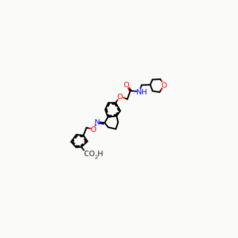 O=C(COc1ccc2c(c1)CCCC2=NOCc1cccc(C(=O)O)c1)NCC1CCOCC1